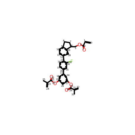 C=CC(=O)OCC1CCc2ccc(-c3ccc(-c4cc(OC(=O)C(=C)C)cc(OC(=O)C(=C)C)c4)cc3F)cc21